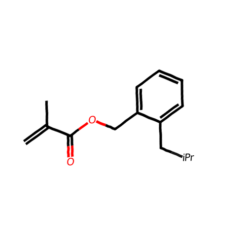 C=C(C)C(=O)OCc1ccccc1CC(C)C